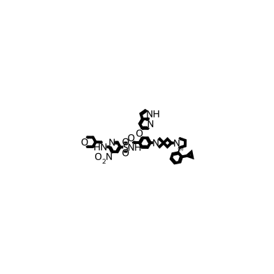 O=C(NS(=O)(=O)c1cnc(NCC2CCOCC2)c([N+](=O)[O-])c1)c1ccc(N2CC3(CC(N4CCC[C@H]4c4ccccc4C4CC4)C3)C2)cc1Oc1cnc2[nH]ccc2c1